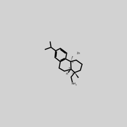 CC(C)c1ccc2c(c1)CC[C@H]1[C@@](C)(CN)CCC[C@]21C.[Zn]